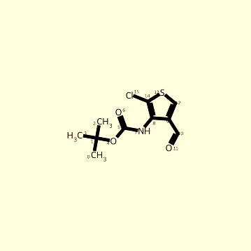 CC(C)(C)OC(=O)Nc1c(C=O)csc1Cl